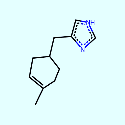 CC1=CCC(Cc2c[nH]cn2)CC1